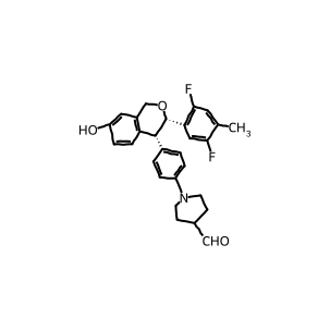 Cc1cc(F)c([C@H]2OCc3cc(O)ccc3[C@H]2c2ccc(N3CCC(C=O)CC3)cc2)cc1F